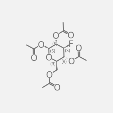 CC(=O)OC[C@H]1O[C@@H](OC(C)=O)[C@H](OC(C)=O)[C@@H](F)[C@@H]1OC(C)=O